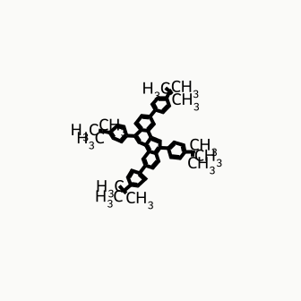 CC(C)(C)c1ccc(-c2ccc3c(-c4ccc(C(C)(C)C)cc4)cc4c5cc(-c6ccc(C(C)(C)C)cc6)ccc5c(-c5ccc(C(C)(C)C)cc5)cc4c3c2)cc1